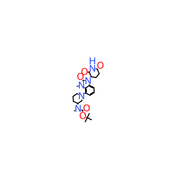 CN(C(=O)OC(C)(C)C)C1CCCN(c2cccc3c2n(C)c(=O)n3C2CCC(=O)NC2=O)C1